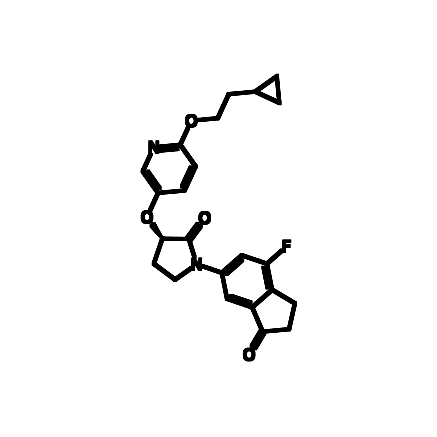 O=C1CCc2c(F)cc(N3CC[C@@H](Oc4ccc(OCCC5CC5)nc4)C3=O)cc21